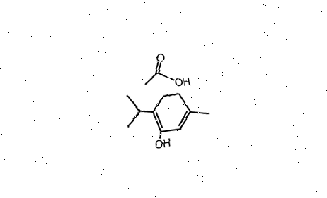 CC(=O)O.CC1=CC(O)=C(C(C)C)CC1